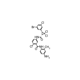 Cc1cc(N)ccc1NC(=O)c1cc(NC(=O)[C@@H]2[C@@H](c3cc(Cl)cc(Br)c3)C2(Cl)Cl)ccc1Cl